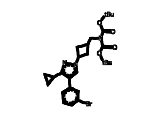 CC(C)(C)OC(=O)N(CC1CC(n2cc(-c3cccc(Br)c3)c(C3CC3)n2)C1)C(=O)OC(C)(C)C